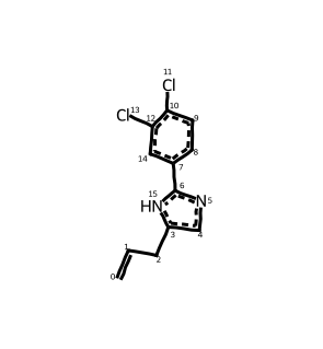 C=CCc1cnc(-c2ccc(Cl)c(Cl)c2)[nH]1